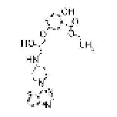 CCOC(=O)c1cc(OCC(O)CNC2CCN(c3ncnc4ccsc34)CC2)ccc1O